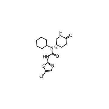 O=C1CC[C@H](N(C(=O)Nc2ncc(Cl)s2)C2CCCCC2)CN1